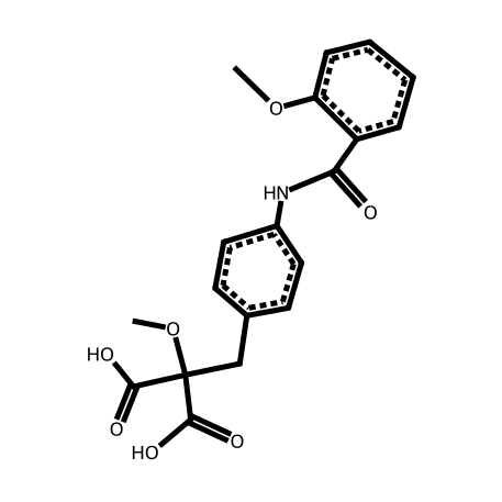 COc1ccccc1C(=O)Nc1ccc(CC(OC)(C(=O)O)C(=O)O)cc1